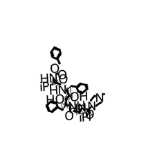 CC(C)[C@H](NC(=O)OCc1ccccc1)C(=O)N[C@@H](Cc1ccccc1)[C@@H](O)[C@@H](O)[C@H](Cc1ccccc1)NC(=O)[C@@H](NC(=O)N1CCN(C)CC1)C(C)C